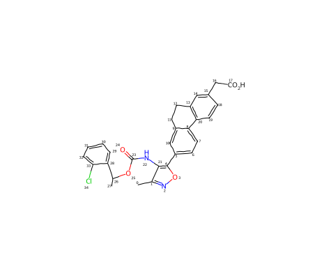 Cc1noc(-c2ccc3c(c2)CCc2cc(CC(=O)O)ccc2-3)c1NC(=O)OC(C)c1ccccc1Cl